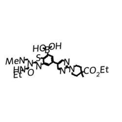 CCNC(=O)N(CNC)c1nc2cc(-c3cnc(N4CCC(C)(C(=O)OCC)CC4)nc3)cc(B(O)O)c2s1